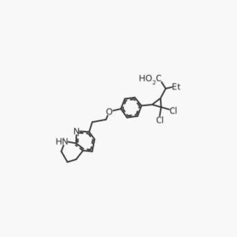 CCC(C(=O)O)C1C(c2ccc(OCCc3ccc4c(n3)NCCC4)cc2)C1(Cl)Cl